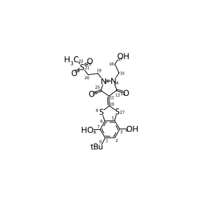 CC(C)(C)c1cc(O)c2c(c1O)S/C(=C1/C(=O)N(CCO)N(CCS(C)(=O)=O)C1=O)S2